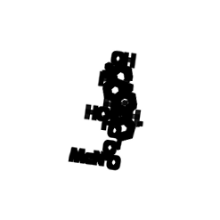 CNC(=O)OC[C@H]1C[C@@H](C)[C@H]2[C@H](O1)[C@H](O)[C@@]1(C)[C@@H]3CC[C@H]4C(C)(C)[C@@H](O)CC[C@@]45C[C@@]35CC[C@]21C